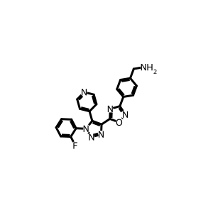 NCc1ccc(-c2noc(-c3nnn(-c4ccccc4F)c3-c3ccncc3)n2)cc1